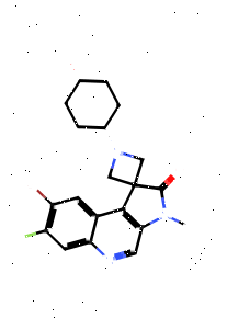 CN1C(=O)C2(CN([C@H]3CC[C@@H](O)CC3)C2)c2c1cnc1cc(F)c(Br)cc21